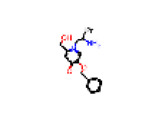 CC(C)C(N)Cn1cc(OCc2ccccc2)c(=O)cc1CO